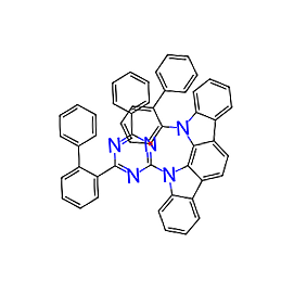 c1ccc(-c2nc(-c3ccccc3-c3ccccc3)nc(-n3c4ccccc4c4ccc5c6ccccc6n(-c6ccccc6-c6ccccc6)c5c43)n2)cc1